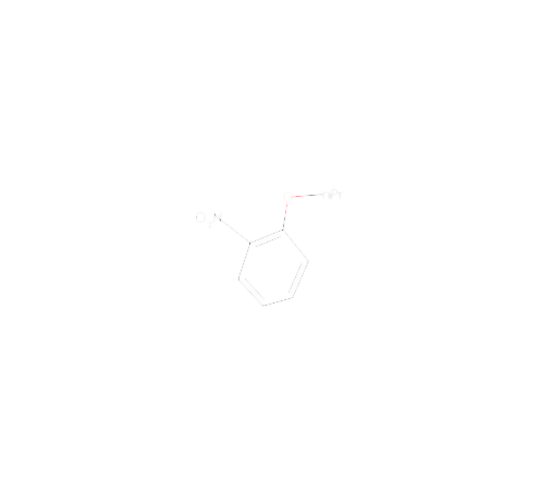 CCCOc1ccc[c]c1[N+](=O)[O-]